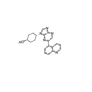 O[C@H]1CC[C@H](n2cnc3ncc(-c4cccc5ncccc45)nc32)CC1